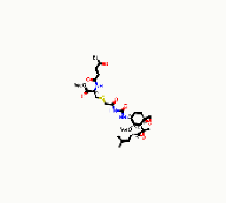 CCC(=O)CCC(=O)N[C@@H](CSCC(=O)NC(=O)N[C@@H]1CC[C@]2(CO2)[C@@H](C2(C)O[C@@H]2CC=C(C)C)[C@@H]1OC)C(=O)OC